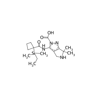 CC[Si](C)(C)C1(C(=O)Nc2c3c(nn2C(=O)O)C(C)(C)NC3)CCC1